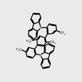 Cc1cc(-c2cc(C(F)(F)F)ccc2-n2c3ccccc3c3ccccc32)c(C)cc1-c1cc(C(F)(F)F)ccc1-n1c2ccccc2c2ccccc21